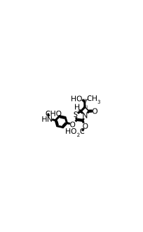 C[C@@H](O)[C@H]1C(=O)N2C(OC(=O)O)=C(Oc3ccc(NC=O)cc3)S[C@H]12